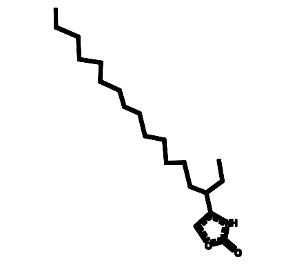 CCCCCCCCCCCCCCC(CC)c1coc(=O)[nH]1